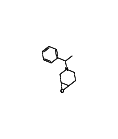 CC(c1ccccc1)N1CCC2OC2C1